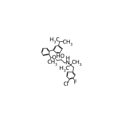 CC(C)c1cccc(-c2ccccc2C(C)OC[C@H](O)CNC(C)(C)Cc2ccc(Cl)c(F)c2)c1